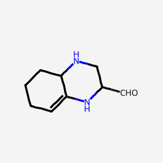 O=CC1CNC2CCCC=C2N1